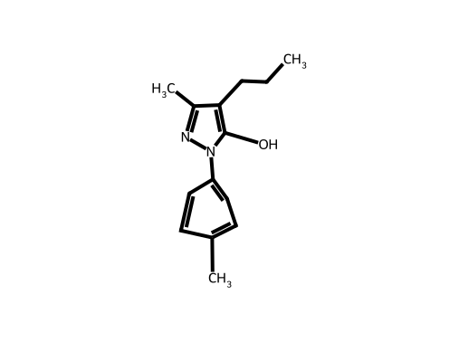 CCCc1c(C)nn(-c2ccc(C)cc2)c1O